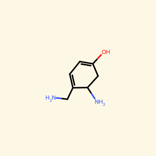 NCC1=CC=C(O)CC1N